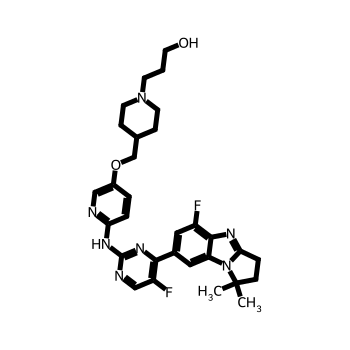 CC1(C)CCc2nc3c(F)cc(-c4nc(Nc5ccc(OCC6CCN(CCCO)CC6)cn5)ncc4F)cc3n21